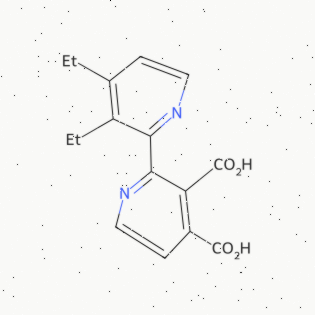 CCc1ccnc(-c2nccc(C(=O)O)c2C(=O)O)c1CC